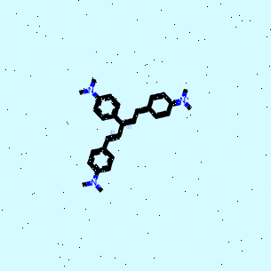 CN(C)c1ccc(/C=C/C(=C/C=C2C=CC(=[N+](C)C)C=C2)c2ccc(N(C)C)cc2)cc1